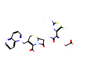 C[C@H](O/N=C(\C(=O)N[C@@H]1C(=O)N2C(C(=O)O)=C(C[n+]3cccc4ncccc43)CSC12)c1nc(N)sc1Cl)C(=O)O